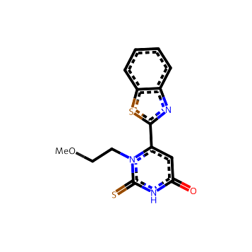 COCCn1c(-c2nc3ccccc3s2)cc(=O)[nH]c1=S